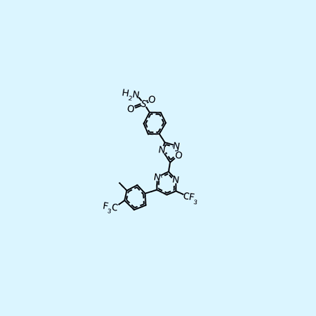 Cc1cc(-c2cc(C(F)(F)F)nc(-c3nc(-c4ccc(S(N)(=O)=O)cc4)no3)n2)ccc1C(F)(F)F